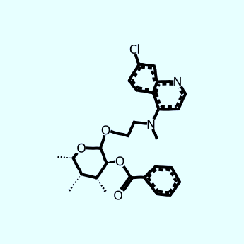 C[C@@H]1[C@H](C)[C@H](C)OC(OCCN(C)c2ccnc3cc(Cl)ccc23)[C@H]1OC(=O)c1ccccc1